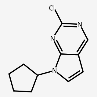 Clc1ncc2ccn(C3CCCC3)c2n1